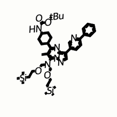 Cc1c(C2CCC(NC(=O)OC(C)(C)C)CC2)nc2c(-c3ccc(-c4ccccc4)nc3)cnn2c1N(COCC[Si](C)(C)C)COCC[Si](C)(C)C